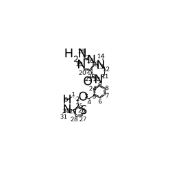 CC[C@H](OCc1cccc(N2CCN(C)c3nc(N)ncc3C2=O)c1)c1sccc1NC